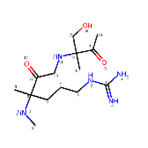 CNC(C)(CCCNC(=N)N)C(=O)CNC(C)(CO)C(C)=O